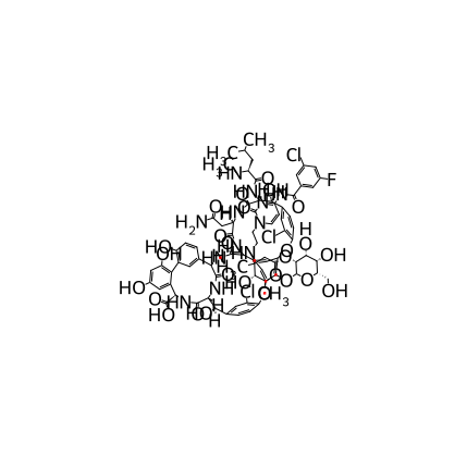 CN[C@@H](CC(C)C)C(=O)N[C@H]1C(=O)N[C@@H](CC(N)=O)C(=O)NC2C(=O)N[C@@H]3C(=O)N[C@@H](C(=O)N[C@@H](C(=O)O)c4cc(O)cc(O)c4-c4cc3ccc4O)[C@H](O)c3ccc(c(Cl)c3)Oc3cc2cc(c3OC2O[C@@H](CO)[C@@H](O)[C@@H](O)[C@H]2O[C@H]2CC(C)(NCCn3ccc(NC(=O)c4cc(F)cc(Cl)c4)nc3=O)[C@@H](O)C(C)O2)Oc2ccc(cc2Cl)[C@H]1O